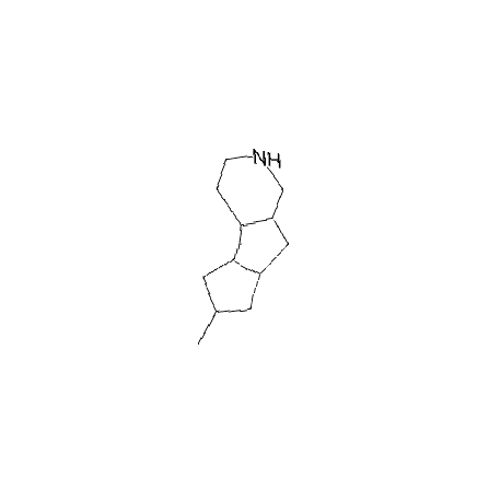 CC1CC2CC3CNCCC3C2C1